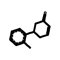 Cc1ccccc1C1CC=CC(=O)C1